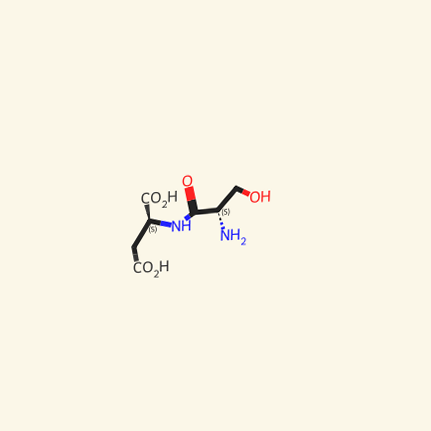 N[C@@H](CO)C(=O)N[C@@H](CC(=O)O)C(=O)O